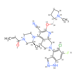 C=CC(=O)N1CCN(c2c(C#N)c(OC[C@@H]3CCCN3C)nc3c2CCN(c2c(Cl)c(F)cc4[nH]ncc24)C3)[C@@H](C)C1